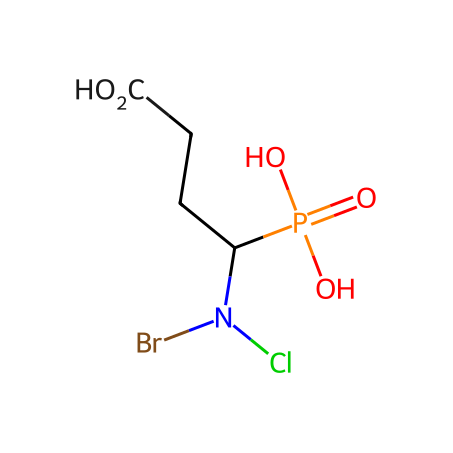 O=C(O)CCC(N(Cl)Br)P(=O)(O)O